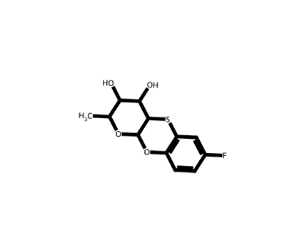 CC1OC2Oc3ccc(F)cc3SC2C(O)C1O